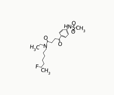 CCN(CCCCCC(C)F)C(=O)CCC(=O)c1ccc(NS(C)(=O)=O)cc1